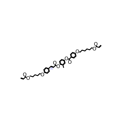 C=CC(=O)OCCCCCCOc1ccc(C(=O)Oc2ccc(OC(=O)/C=C/c3ccc(OCCCCCOC(=O)C=C)cc3)c(C)c2)cc1